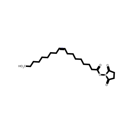 O=C(O)CCCCCCC/C=C\CCCCCCCC(=O)ON1C(=O)CCC1=O